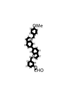 COc1ccc(Cn2ccc3ccc(-c4ccc5ccn(Cc6cccc(OC=O)c6)c5c4)cc32)cc1